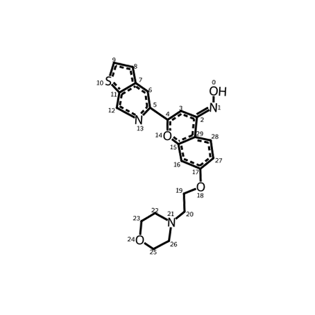 ON=c1cc(-c2cc3ccsc3cn2)oc2cc(OCCN3CCOCC3)ccc12